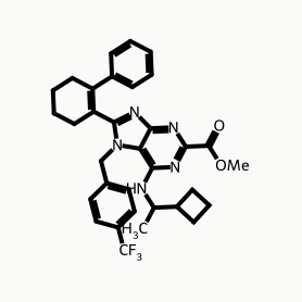 COC(=O)c1nc(NC(C)C2CCC2)c2c(n1)nc(C1=C(c3ccccc3)CCCC1)n2Cc1ccc(C(F)(F)F)cc1